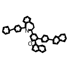 C1=c2ccccc2=C(c2ccc(-c3ccccc3)cc2)N=C(c2cc(-c3ccc(-c4ccc5ccccc5c4)cc3)c3c(c2)oc2ccc4ccccc4c23)C1